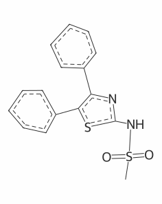 CS(=O)(=O)Nc1nc(-c2ccccc2)c(-c2ccccc2)s1